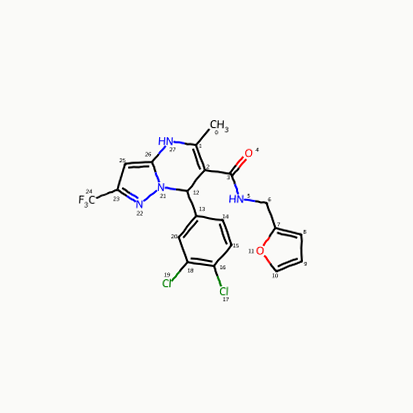 CC1=C(C(=O)NCc2ccco2)C(c2ccc(Cl)c(Cl)c2)n2nc(C(F)(F)F)cc2N1